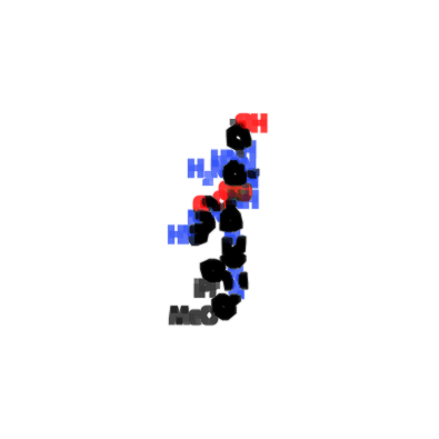 COc1ccc(CN2CCN(C3CC4(CCN(c5ccc(C(=O)NS(=O)(=O)c6cc(N)c(NC[C@H]7CC[C@](C)(O)CC7)c7[nH]cnc67)c(N6CCOc7nc8[nH]ccc8cc76)c5)CC4)C3)C(c3ccccc3C(C)C)C2)cc1